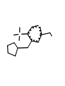 CCc1cc(CC2CCCC2)c([Si](C)(C)C)cn1